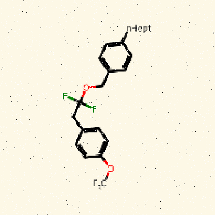 CCCCCCCc1ccc(COC(F)(F)Cc2ccc(OC(F)(F)F)cc2)cc1